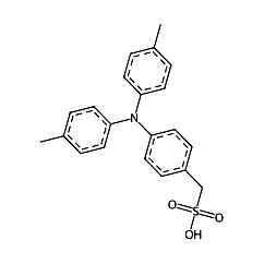 Cc1ccc(N(c2ccc(C)cc2)c2ccc(CS(=O)(=O)O)cc2)cc1